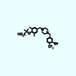 Cc1cc(CN2CCN(Cc3ccc(C(F)(F)F)c(C(C)C)c3)CC2)cc(C)c1OC(C)(C)C(=O)O